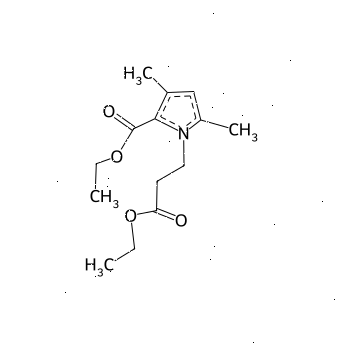 CCOC(=O)CCn1c(C)cc(C)c1C(=O)OCC